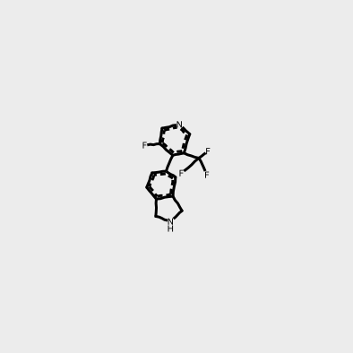 Fc1cncc(C(F)(F)F)c1-c1ccc2c(c1)CNC2